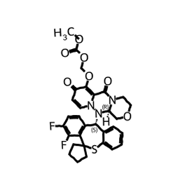 COC(=O)OCOc1c2n(ccc1=O)N([C@@H]1c3ccccc3SC3(CCCC3)c3c1ccc(F)c3F)[C@@H]1COCCN1C2=O